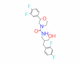 O=C(NCC(CO)Cc1ccc(F)cc1F)N1CCOC(c2ccc(F)c(F)c2)C1